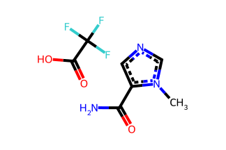 Cn1cncc1C(N)=O.O=C(O)C(F)(F)F